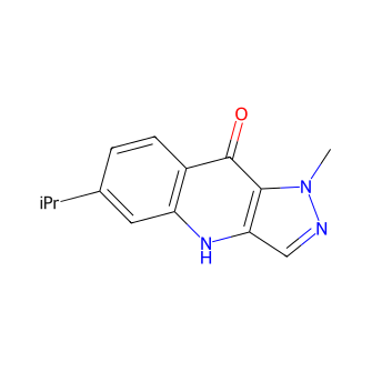 CC(C)c1ccc2c(=O)c3c(cnn3C)[nH]c2c1